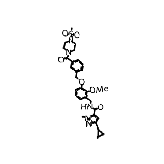 COc1c(CNC(=O)c2cc(C3CC3)nn2C)cccc1OCc1cccc(C(=O)N2CCN(S(C)(=O)=O)CC2)c1